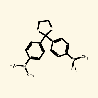 CN(C)c1ccc(C2(c3ccc(N(C)C)cc3)SCCS2)cc1